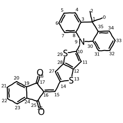 CC1(C)c2ccccc2N(c2cc3sc(C=C4C(=O)c5ccccc5C4=O)cc3s2)c2ccccc21